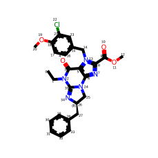 CCN1C(=O)c2c(nc(C(=O)OC)n2Cc2ccc(OC)c(Cl)c2)N2C[C@@H](Cc3ccccc3)N=C12